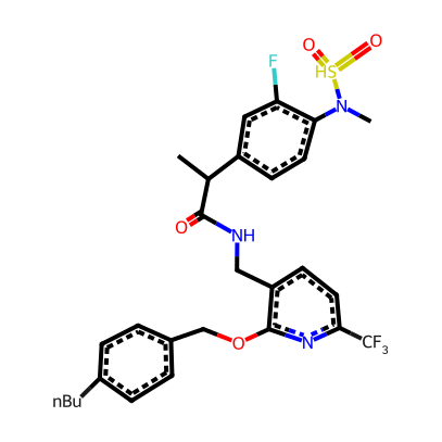 CCCCc1ccc(COc2nc(C(F)(F)F)ccc2CNC(=O)C(C)c2ccc(N(C)[SH](=O)=O)c(F)c2)cc1